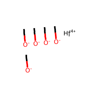 C[O-].C[O-].C[O-].C[O-].C[O-].[Hf+4]